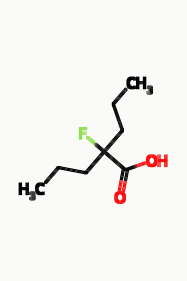 CCCC(F)(CCC)C(=O)O